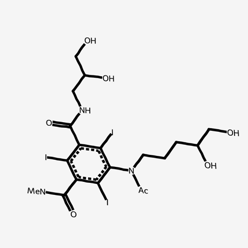 CNC(=O)c1c(I)c(C(=O)NCC(O)CO)c(I)c(N(CCCC(O)CO)C(C)=O)c1I